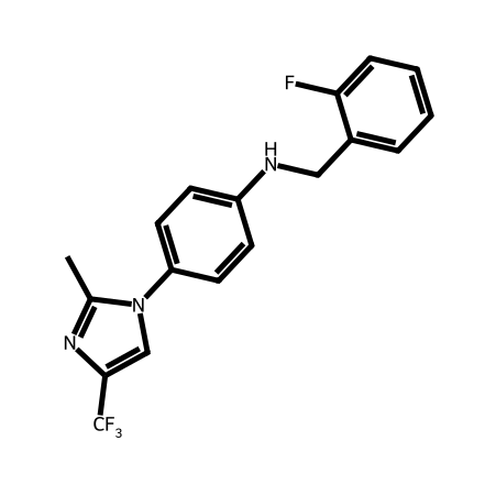 Cc1nc(C(F)(F)F)cn1-c1ccc(NCc2ccccc2F)cc1